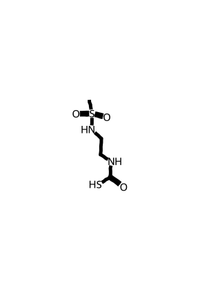 CS(=O)(=O)NCCNC(=O)S